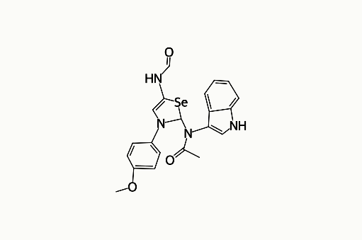 COc1ccc(N2C=C(NC=O)[Se]C2N(C(C)=O)c2c[nH]c3ccccc23)cc1